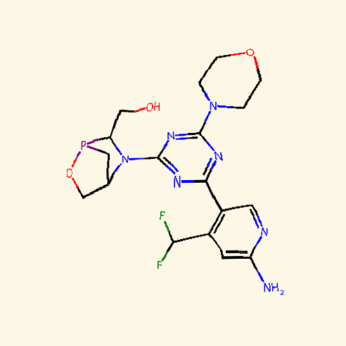 Nc1cc(C(F)F)c(-c2nc(N3CCOCC3)nc(N3C4COP(C4)C3CO)n2)cn1